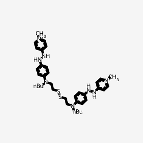 CCCCN(CCSSCCN(CCCC)c1ccc(NNc2cc[n+](C)cc2)cc1)c1ccc(NNc2cc[n+](C)cc2)cc1